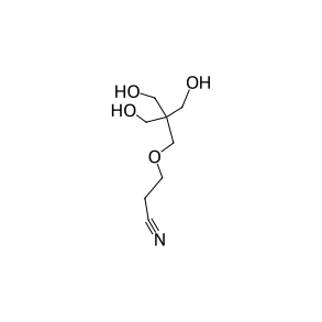 N#CCCOCC(CO)(CO)CO